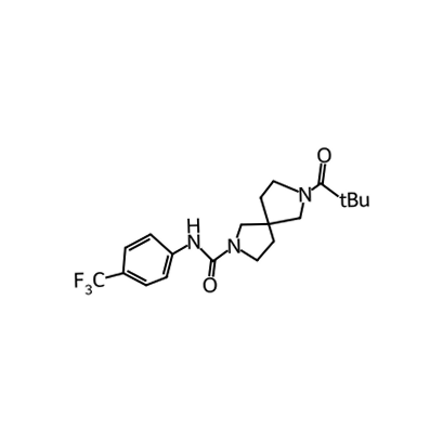 CC(C)(C)C(=O)N1CCC2(CCN(C(=O)Nc3ccc(C(F)(F)F)cc3)C2)C1